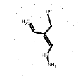 C=C/C(=C\NN)CC(C)C